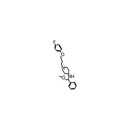 CO[C@@H]1CN(CCCOc2ccc(F)cc2)CC[C@@H]1NC(C)c1ccccc1